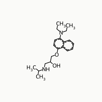 CCN(CC)c1ccc(OCC(O)CNC(C)C)c2ccccc12